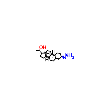 CC(O)[C@H]1CC[C@H]2[C@@H]3CCC4=C/C(=N/N)CC[C@]4(C)[C@H]3CC[C@]12C